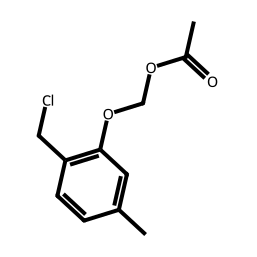 CC(=O)OCOc1cc(C)ccc1CCl